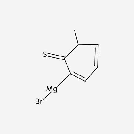 CC1C=CC=[C]([Mg][Br])C1=S